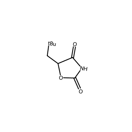 CC(C)(C)CC1OC(=O)NC1=O